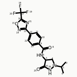 CC(C)N1CC(NC(=O)c2ccc(-c3noc(C(F)(F)F)n3)cc2)C(=O)N1